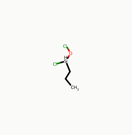 CCC[SiH](Cl)OCl